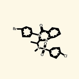 CC(c1nc2ccccc2c(=O)n1-c1ccc(Br)cc1)N(C)S(=O)(=O)c1ccc(Cl)cc1